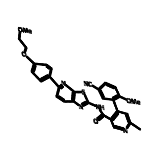 COCCOc1ccc(-c2ccc3nc(NC(=O)c4cnc(C)cc4-c4cc(C#N)ccc4OC)sc3n2)cc1